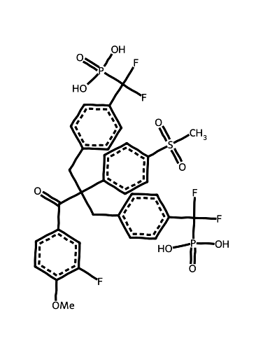 COc1ccc(C(=O)C(Cc2ccc(C(F)(F)P(=O)(O)O)cc2)(Cc2ccc(C(F)(F)P(=O)(O)O)cc2)c2ccc(S(C)(=O)=O)cc2)cc1F